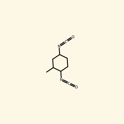 CC1CC(N=C=O)CCC1N=C=O